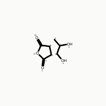 CC(O)CO.O=C1CCC(=O)O1